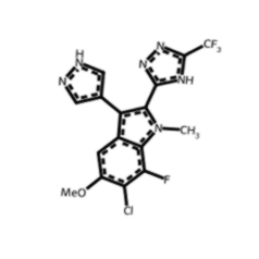 COc1cc2c(-c3cn[nH]c3)c(-c3nnc(C(F)(F)F)[nH]3)n(C)c2c(F)c1Cl